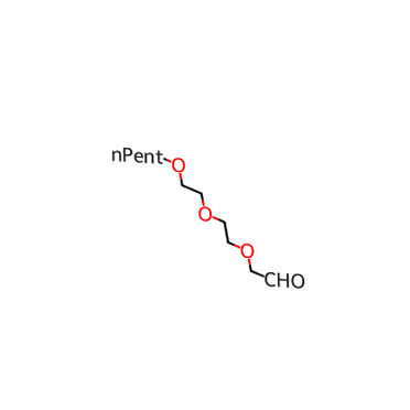 CCCCCOCCOCCOCC=O